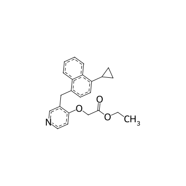 CCOC(=O)COc1ccncc1Cc1ccc(C2CC2)c2ccccc12